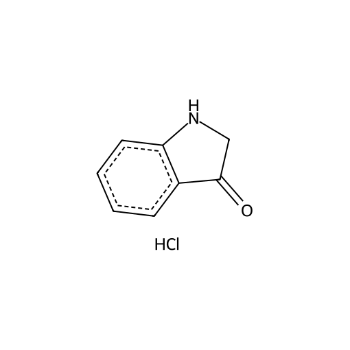 Cl.O=C1CNc2ccccc21